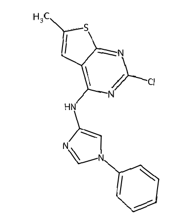 Cc1cc2c(Nc3cn(-c4ccccc4)cn3)nc(Cl)nc2s1